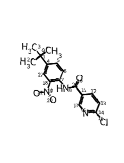 CC(C)(C)c1ccc(NC(=O)c2ccc(Cl)nc2)c([N+](=O)[O-])c1